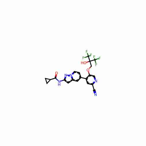 N#Cc1cc(-c2ccn3nc(NC(=O)C4CC4)cc3c2)c(OCC(O)(C(F)(F)F)C(F)(F)F)cn1